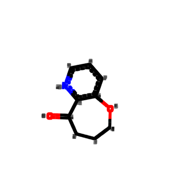 O=C1CCCOc2cccnc21